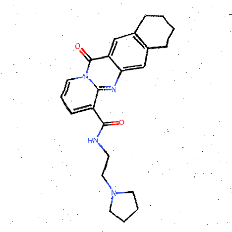 O=C(NCCN1CCCC1)c1cccn2c(=O)c3cc4c(cc3nc12)CCCC4